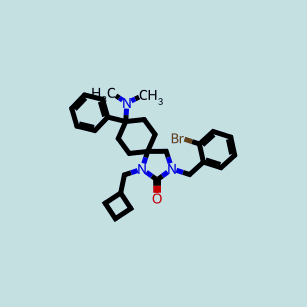 CN(C)C1(c2ccccc2)CCC2(CC1)CN(Cc1ccccc1Br)C(=O)N2CC1CCC1